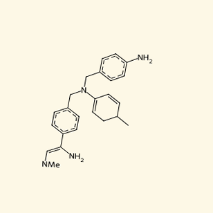 CN/C=C(\N)c1ccc(CN(Cc2ccc(N)cc2)C2=CCC(C)C=C2)cc1